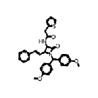 COc1ccc(C(c2ccc(OC)cc2)N2C(=O)C(NC(=O)Cc3cccs3)C2C=Cc2ccccc2)cc1